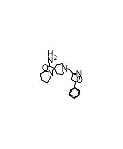 NC(=O)C1(N2CCCCC2)CCN(CC2=NOC(c3ccccc3)C2)CC1